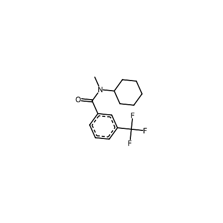 CN(C(=O)c1cccc(C(F)(F)F)c1)C1CCCCC1